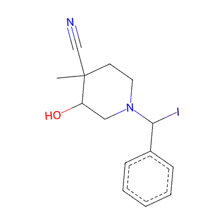 CC1(C#N)CCN(C(I)c2ccccc2)CC1O